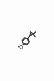 COc1ccc(C2[CH]C2(C)C)cc1